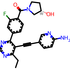 CCc1ncnc(-c2ccc(C(=O)N3CC[C@H](O)C3)c(F)c2)c1C#Cc1ccc(N)nc1